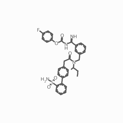 CCC(C)N(Cc1cccc(C(=N)NC(=O)Oc2ccc(F)cc2)c1)C(=O)Cc1ccc(-c2ccccc2S(N)(=O)=O)cc1